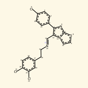 Clc1ccc(-c2nc3sccn3c2/C=N/CCc2ccc(Cl)c(Cl)c2)cc1